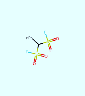 CCCC(S(=O)(=O)F)S(=O)(=O)F